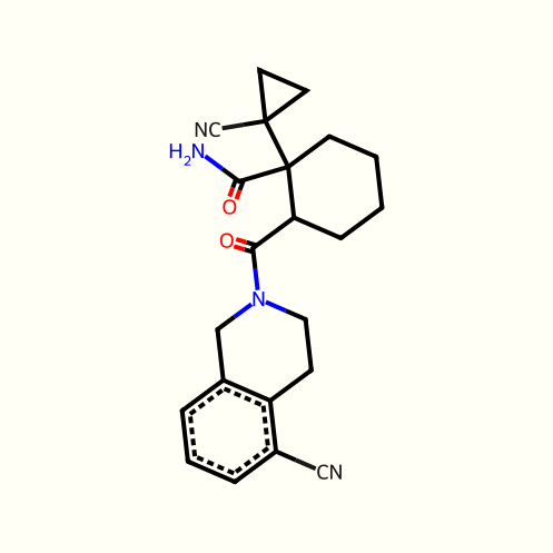 N#Cc1cccc2c1CCN(C(=O)C1CCCCC1(C(N)=O)C1(C#N)CC1)C2